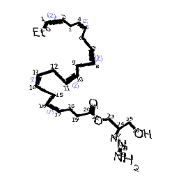 CC/C=C\C/C=C\C/C=C\C/C=C\C/C=C\C/C=C\CCC(=O)OCC(CO)N=NN